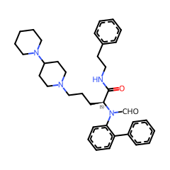 O=CN(c1ccccc1-c1ccccc1)[C@@H](CCCN1CCC(N2CCCCC2)CC1)C(=O)NCCc1ccccc1